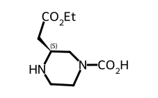 CCOC(=O)C[C@H]1CN(C(=O)O)CCN1